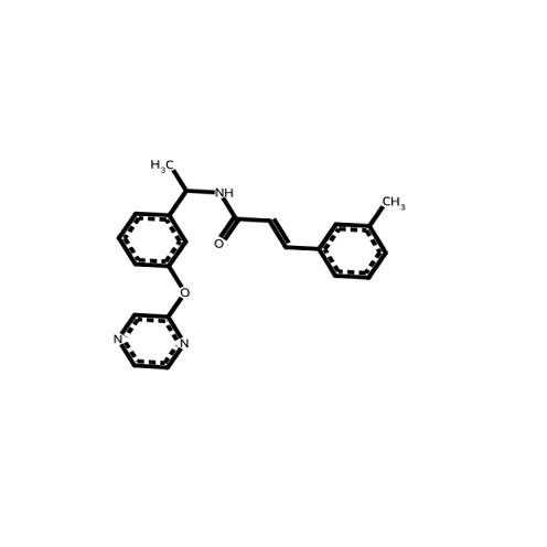 Cc1cccc(C=CC(=O)NC(C)c2cccc(Oc3cnccn3)c2)c1